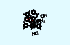 Cc1cc(C)cc(-c2ccc(-c3cc(C)cc(C)c3)c3c2C=C(CC(C)c2ccccc2)[CH]3[Zr]([CH3])([CH3])(=[SiH2])[CH]2C(CC(C)c3ccccc3)=Cc3c(-c4cc(C)cc(C)c4)ccc(-c4cc(C)cc(C)c4)c32)c1.Cl.Cl